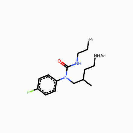 CC(=O)NCCC(C)CN(C(=O)NCCC(C)C)c1ccc(F)cc1